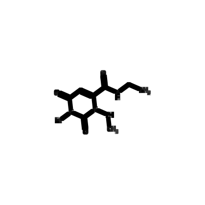 CCn1c(=O)cc(C(=O)NCN)n(PC)c1=O